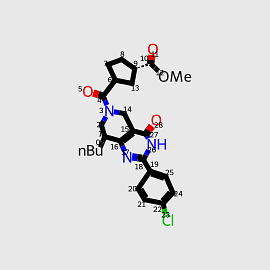 CCCCC1CN(C(=O)C2CC[C@H](C(=O)OC)C2)Cc2c1nc(-c1ccc(Cl)cc1)[nH]c2=O